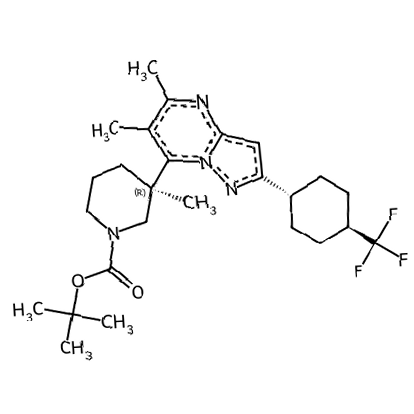 Cc1nc2cc([C@H]3CC[C@H](C(F)(F)F)CC3)nn2c([C@]2(C)CCCN(C(=O)OC(C)(C)C)C2)c1C